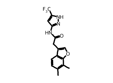 Cc1ccc2c(CC(=O)Nc3cc(C(F)(F)F)[nH]n3)coc2c1C